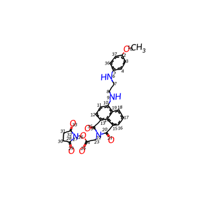 COc1ccc(NCCNc2ccc3c4c(cccc24)C(=O)N(CC(=O)ON2C(=O)CCC2=O)C3=O)cc1